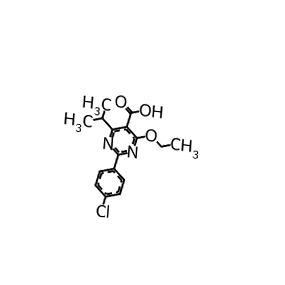 CCOc1nc(-c2ccc(Cl)cc2)nc(C(C)C)c1C(=O)O